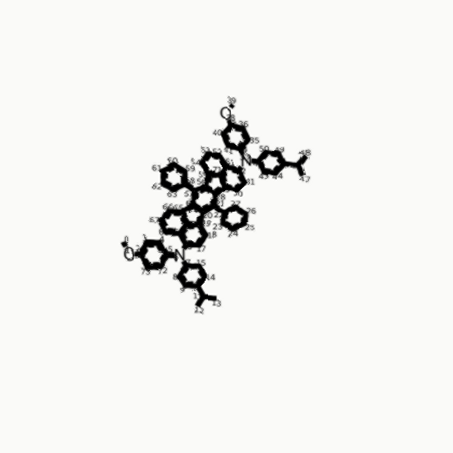 COc1ccc(N(c2ccc(C(C)C)cc2)c2ccc3c4c(-c5ccccc5)c5c6ccc(N(c7ccc(OC)cc7)c7ccc(C(C)C)cc7)c7cccc(c5c(-c5ccccc5)c4c4cccc2c43)c76)cc1